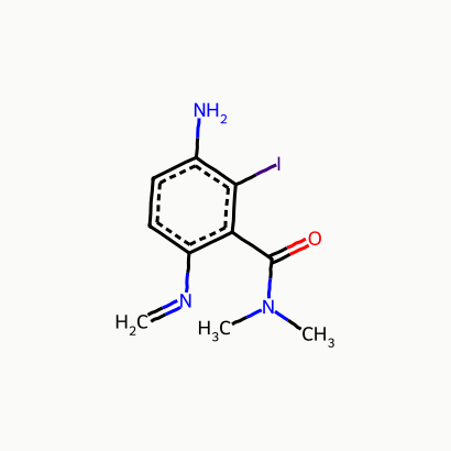 C=Nc1ccc(N)c(I)c1C(=O)N(C)C